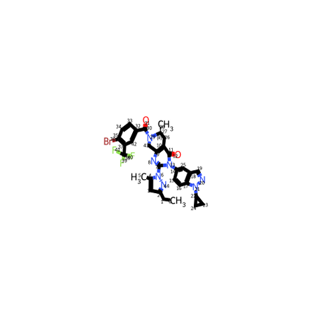 CCc1cc(C)n(-c2nc3c(c(=O)n2-c2ccc4c(cnn4C4CC4)c2)C[C@@H](C)N(C(=O)c2ccc(Br)c(C(F)(F)F)c2)C3)n1